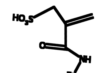 C=C(CS(=O)(=O)O)C(=O)NCC